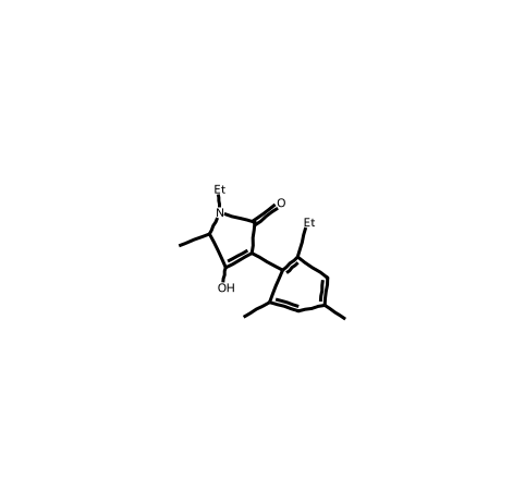 CCc1cc(C)cc(C)c1C1=C(O)C(C)N(CC)C1=O